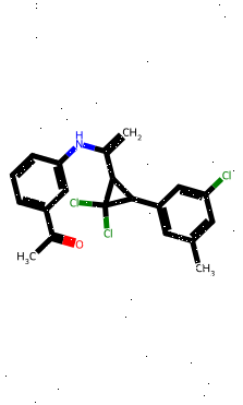 C=C(Nc1cccc(C(C)=O)c1)C1C(c2cc(C)cc(Cl)c2)C1(Cl)Cl